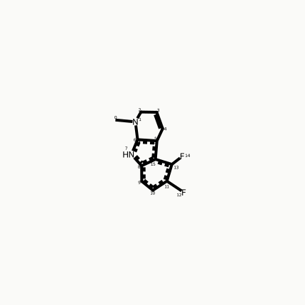 CN1CC=Cc2c1[nH]c1ccc(F)c(F)c21